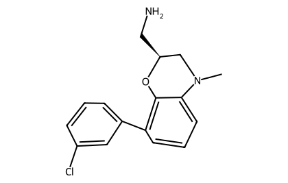 CN1C[C@H](CN)Oc2c(-c3cccc(Cl)c3)cccc21